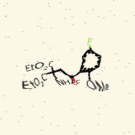 CCOC(=O)C(CC(=O)c1cc(F)ccc1OC)(NC(C)=O)C(=O)OCC